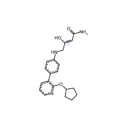 NC(=O)/C=C(\O)CNc1ccc(-c2cccnc2OC2CCCC2)cc1